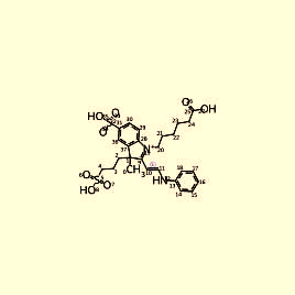 CC1(CCCS(=O)(=O)O)C(/C=C/Nc2ccccc2)=[N+](CCCCCC(=O)O)c2ccc(S(=O)(=O)O)cc21